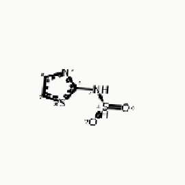 O=[SH](=O)Nc1nccs1